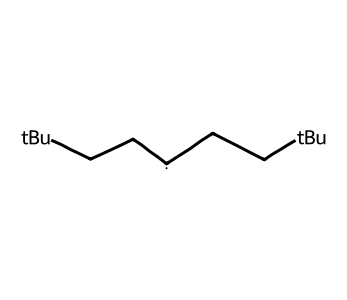 CC(C)(C)CC[CH]CCC(C)(C)C